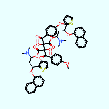 COc1ccc(C(=O)C(O)(C(=O)OC(C[C@@H](Oc2cccc3ccccc23)c2cccs2)N(C)C)C(O)(C(=O)OC(C[C@@H](Oc2cccc3ccccc23)c2cccs2)N(C)C)C(=O)c2ccc(OC)cc2)cc1